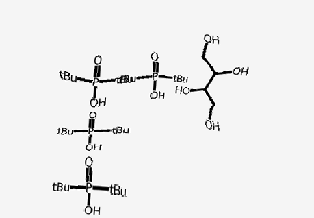 CC(C)(C)P(=O)(O)C(C)(C)C.CC(C)(C)P(=O)(O)C(C)(C)C.CC(C)(C)P(=O)(O)C(C)(C)C.CC(C)(C)P(=O)(O)C(C)(C)C.OCC(O)C(O)CO